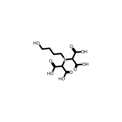 O=C(O)C(C(=O)O)N(CCCCO)C(C(=O)O)C(=O)O